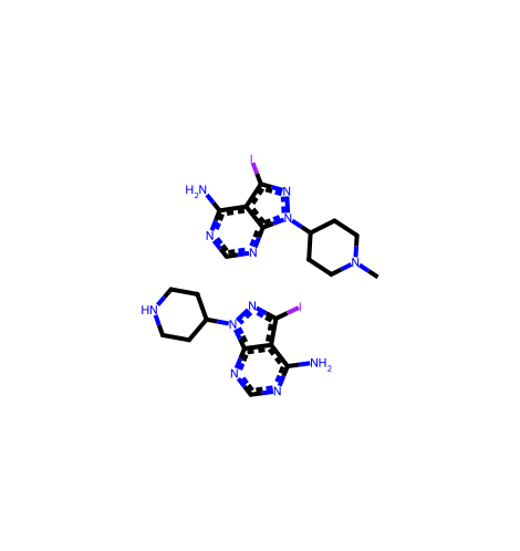 CN1CCC(n2nc(I)c3c(N)ncnc32)CC1.Nc1ncnc2c1c(I)nn2C1CCNCC1